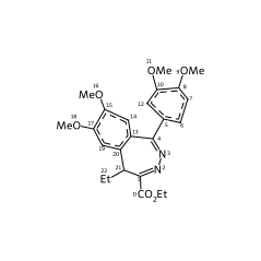 CCOC(=O)C1=NN=C(c2ccc(OC)c(OC)c2)c2cc(OC)c(OC)cc2C1CC